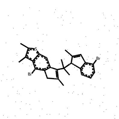 CC1=Cc2c(Br)cccc2C1C(C)(C)C1=C(C)Cc2c1cc1sc(C)c(C)c1c2Br